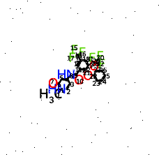 CN/C=C\C(=C/C=O)NC(=O)c1cc(C(F)(F)F)ccc1Oc1ccccc1OC(F)(F)F